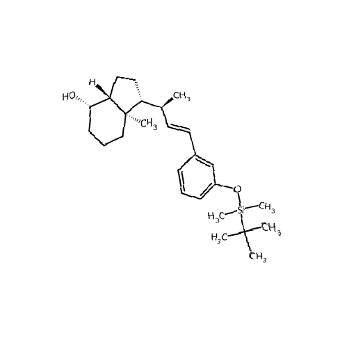 C[C@@H](/C=C/c1cccc(O[Si](C)(C)C(C)(C)C)c1)[C@H]1CC[C@H]2[C@@H](O)CCC[C@]12C